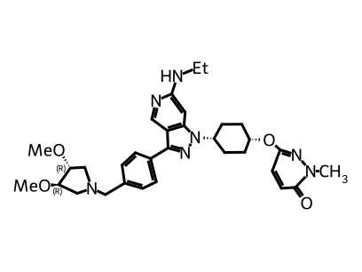 CCNc1cc2c(cn1)c(-c1ccc(CN3C[C@@H](OC)[C@H](OC)C3)cc1)nn2[C@H]1CC[C@@H](Oc2ccc(=O)n(C)n2)CC1